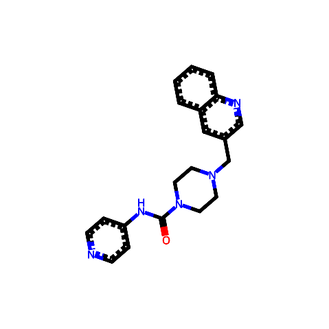 O=C(Nc1ccncc1)N1CCN(Cc2cnc3ccccc3c2)CC1